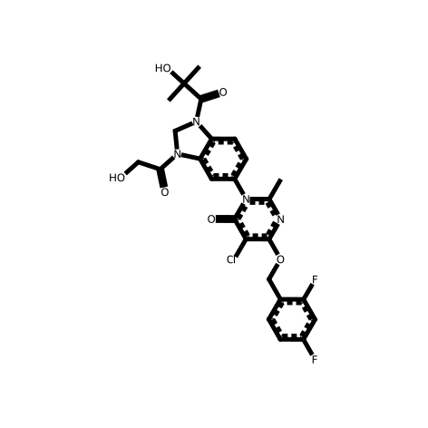 Cc1nc(OCc2ccc(F)cc2F)c(Cl)c(=O)n1-c1ccc2c(c1)N(C(=O)CO)CN2C(=O)C(C)(C)O